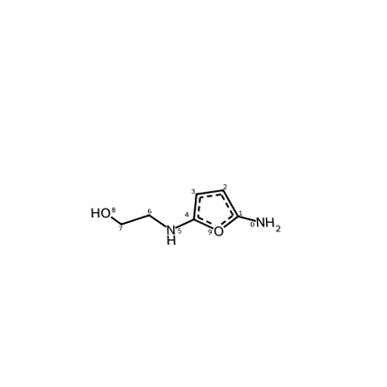 Nc1ccc(NCCO)o1